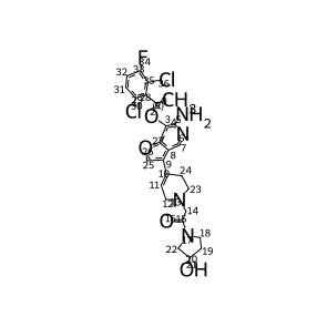 C[C@@H](Oc1c(N)ncc2c(C3=CCN(CC(=O)N4CCC(O)C4)CC3)coc12)c1c(Cl)ccc(F)c1Cl